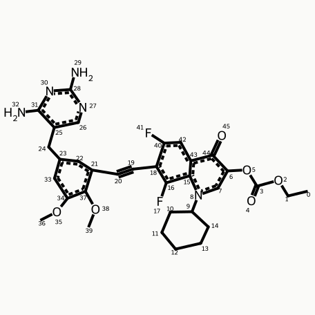 CCOC(=O)Oc1cn(C2CCCCC2)c2c(F)c(C#Cc3cc(Cc4cnc(N)nc4N)cc(OC)c3OC)c(F)cc2c1=O